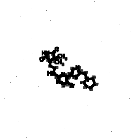 CC1(C)C(=O)NC(=O)N1CCNc1ncc(Br)c(-c2cnc(CN3CCCCC3)s2)n1